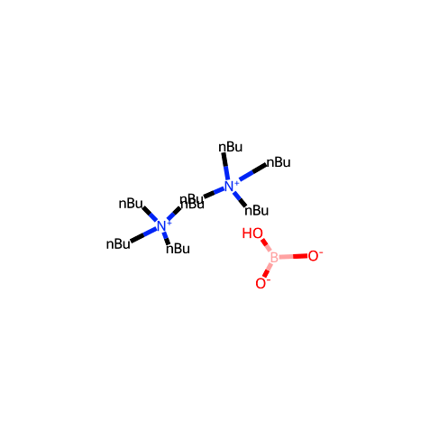 CCCC[N+](CCCC)(CCCC)CCCC.CCCC[N+](CCCC)(CCCC)CCCC.[O-]B([O-])O